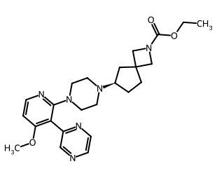 CCOC(=O)N1CC2(CC[C@@H](N3CCN(c4nccc(OC)c4-c4cnccn4)CC3)C2)C1